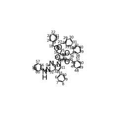 C1=Nc2c(c(-c3ccccc3)cn2[C@@H]2OC(COCc3ccccc3)(COCc3ccccc3)[C@@H](OCc3ccccc3)[C@H]2OCc2ccccc2)CN1Nc1ccccc1